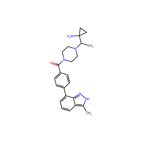 Cc1[nH]nc2c(-c3ccc(C(=O)N4CCN(C(C)C5(N)CC5)CC4)cc3)cccc12